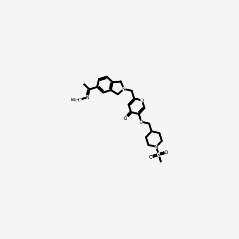 CON=C(C)c1ccc2c(c1)CN(Cc1cc(=O)c(OCC3CCN(S(C)(=O)=O)CC3)co1)C2